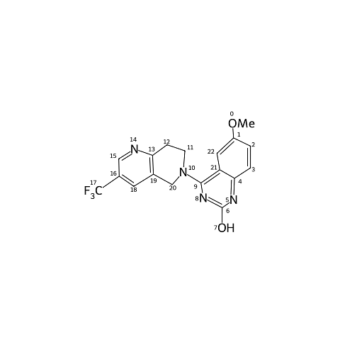 COc1ccc2nc(O)nc(N3CCc4ncc(C(F)(F)F)cc4C3)c2c1